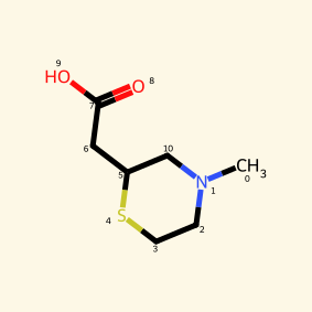 CN1CCSC(CC(=O)O)C1